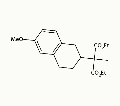 CCOC(=O)C(C)(C(=O)OCC)C1CCc2cc(OC)ccc2C1